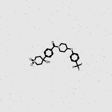 O=C(c1ccc(C2(O)CCS(=O)(=O)CC2)cc1)N1CCC(Oc2ccc(C(F)(F)F)cc2)CC1